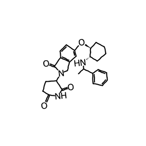 CC(N[C@H]1CCCC[C@@H]1Oc1ccc2c(c1)CN(C1CCC(=O)NC1=O)C2=O)c1ccccc1